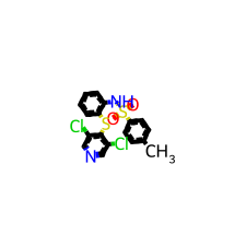 Cc1ccc(S(=O)(=O)Nc2ccccc2Sc2c(Cl)cncc2Cl)cc1